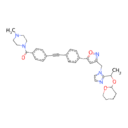 CC(OC1CCCCO1)c1nccn1Cc1cc(-c2ccc(C#Cc3ccc(C(=O)N4CCN(C)CC4)cc3)cc2)on1